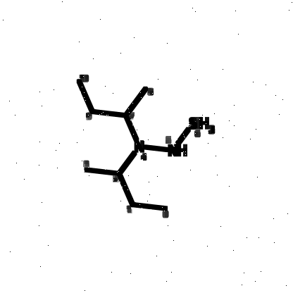 CCC(C)N(N[SiH3])C(C)CC